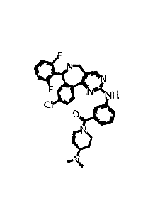 CN(C)C1CCN(C(=O)c2cccc(Nc3ncc4c(n3)-c3ccc(Cl)cc3C(c3c(F)cccc3F)=NC4)c2)CC1